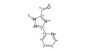 Cn1nc(-c2ccccn2)nc1C=O